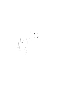 O.O.O.O.O.O.O=S(=O)([O-])[O-].[Ca+2]